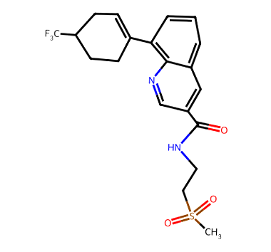 CS(=O)(=O)CCNC(=O)c1cnc2c(C3=CCC(C(F)(F)F)CC3)cccc2c1